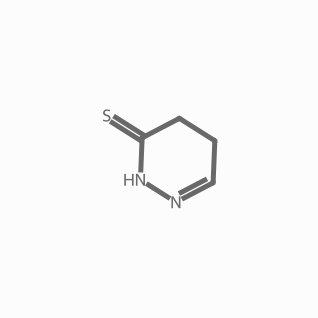 S=C1CCC=NN1